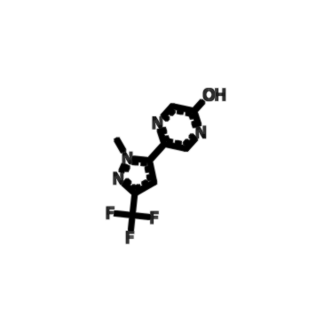 Cn1nc(C(F)(F)F)cc1-c1cnc(O)cn1